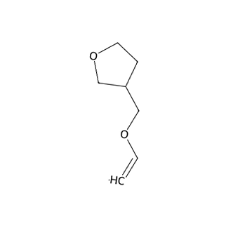 [CH]=COCC1CCOC1